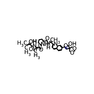 CC(C)[C@H](O)C(O)N[C@@H](C)C(=O)N1CCC[C@@H](C(=O)N[C@H](C)c2ccc3ccc(/C=C/C4(C(=O)O)COCOC4)cc3n2)N1